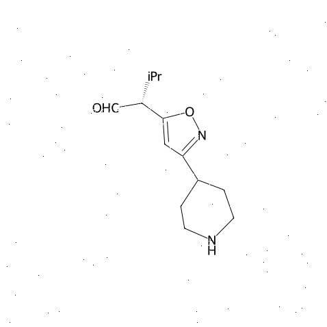 CC(C)[C@@H](C=O)c1cc(C2CCNCC2)no1